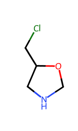 ClCC1CNCO1